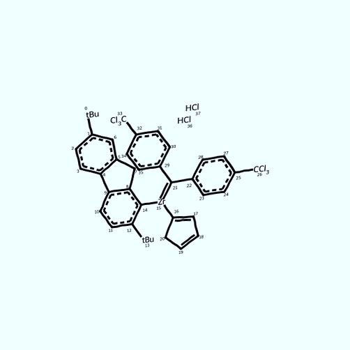 CC(C)(C)c1ccc2c(c1)Cc1c-2ccc(C(C)(C)C)[c]1[Zr]([C]1=CC=CC1)=[C](c1ccc(C(Cl)(Cl)Cl)cc1)c1ccc(C(Cl)(Cl)Cl)cc1.Cl.Cl